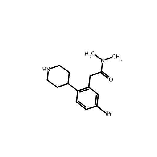 CC(C)c1ccc(C2CCNCC2)c(CC(=O)N(C)C)c1